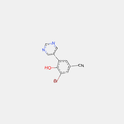 N#Cc1cc(Br)c(O)c(-c2cncnc2)c1